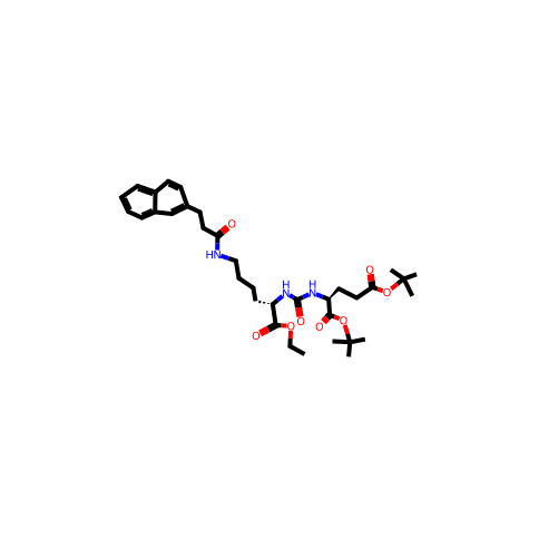 CCOC(=O)[C@H](CCCCNC(=O)CCc1ccc2ccccc2c1)NC(=O)N[C@@H](CCC(=O)OC(C)(C)C)C(=O)OC(C)(C)C